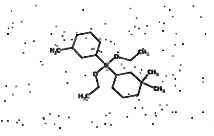 CCO[Si](OCC)(C1CCCC(C)C1)C1CCCC(C)(C)C1